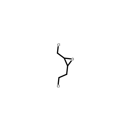 ClCCC1OC1CCl